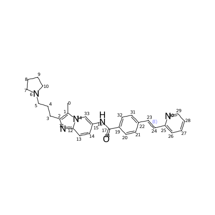 Cc1c(CCCN2CCCC2)nc2ccc(NC(=O)c3ccc(/C=C/c4ccccn4)cc3)cn12